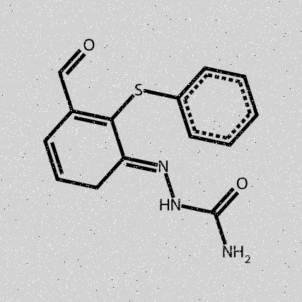 NC(=O)NN=C1CC=CC(C=O)=C1Sc1ccccc1